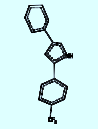 FC(F)(F)c1ccc(-c2cc(-c3ccccc3)c[nH]2)cc1